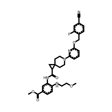 COCCNc1ccc(C(=O)OC)cc1NC(=O)C1CC12CCN(c1cccc(OCc3ccc(C#N)cc3F)n1)CC2